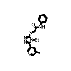 CCn1c(SCC(=O)Nc2ccccc2)nnc1-c1cncc(C)c1